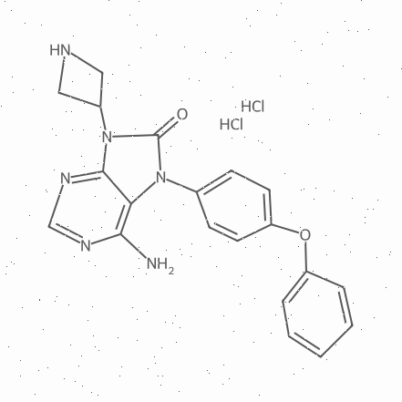 Cl.Cl.Nc1ncnc2c1n(-c1ccc(Oc3ccccc3)cc1)c(=O)n2C1CNC1